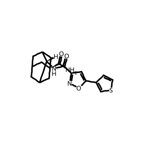 NC(=O)[C@]12CC3CC(C1)[C@@H](NC(=O)c1cc(-c4ccsc4)on1)C(C3)C2